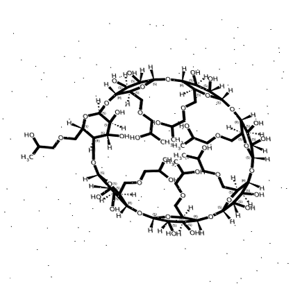 CC(O)COC[C@@H]1O[C@H]2O[C@@H]3[C@@H](O)[C@H](O)[C@H](O[C@@H]4[C@@H](O)[C@H](O)[C@H](O[C@@H]5[C@@H](O)[C@H](O)[C@H](O[C@@H]6[C@@H](O)[C@H](O)[C@H](O[C@@H]7[C@@H](O)[C@H](O)[C@H](O[C@@H]8[C@@H](O)[C@H](O)[C@H](O[C@@H]1[C@@H](O)[C@@H]2O)O[C@H]8COCC(C)O)O[C@H]7COCC(C)O)O[C@H]6COCC(C)O)O[C@H]5COCC(C)O)O[C@H]4COCC(C)O)O[C@H]3COCC(C)O